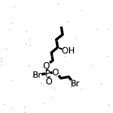 CCC[C@@H](O)CCOP(=O)(Br)OCCBr